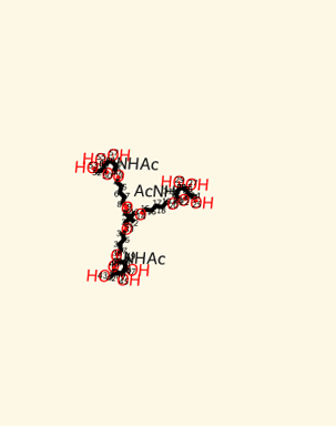 CC(=O)NC1[C@H](OCCCCCOCC(C)(COCCCCCO[C@@H]2OC(CO)[C@H](O)[C@H](O)C2NC(C)=O)COCCCCO[C@@H]2OC(CO)[C@H](O)[C@H](O)C2NC(C)=O)OC(CO)[C@H](O)[C@@H]1O